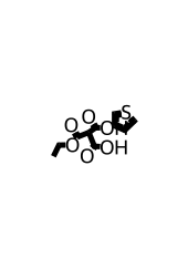 CCOC(=O)C(C(=O)O)C(=O)O.c1ccsc1